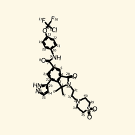 CC1(C)c2c(cc(C(=O)Nc3ccc(OC(F)(F)Cl)cc3)cc2-c2ccn[nH]2)C(=O)N1CCN1CCS(=O)(=O)CC1